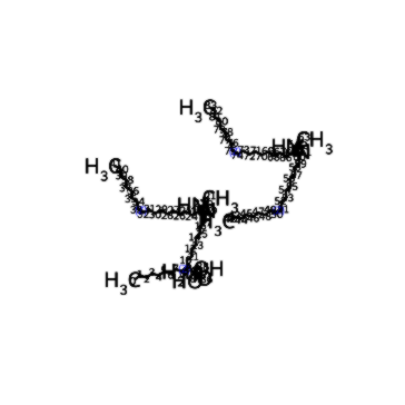 CCCCCCCC/C=C\CCCCCCCCc1nc(C)[nH]c1CCCCCCCC/C=C\CCCCCCCC.CCCCCCCC/C=C\CCCCCCCCc1nc(C)[nH]c1CCCCCCCC/C=C\CCCCCCCC.NP(=O)(O)O